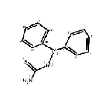 NC(=S)NN(c1ccccc1)c1ccccc1